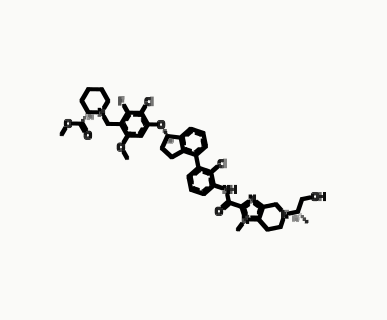 COC(=O)[C@@H]1CCCCN1Cc1c(OC)cc(O[C@H]2CCc3c(-c4cccc(NC(=O)c5nc6c(n5C)CCN([C@@H](C)CO)C6)c4Cl)cccc32)c(Cl)c1F